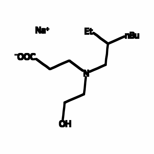 CCCCC(CC)CN(CCO)CCC(=O)[O-].[Na+]